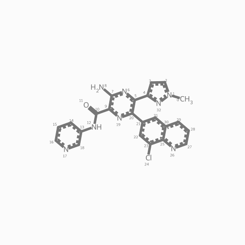 Cn1ccc(-c2nc(N)c(C(=O)Nc3cccnc3)nc2-c2cc(Cl)c3ncccc3c2)n1